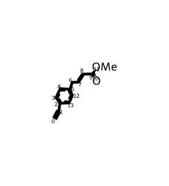 C#Cc1ccc(C/C=C/C(=O)OC)cc1